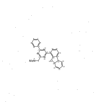 CNCc1nc(-c2ccccc2)nc(-c2cccc3c2OC2C=CC=CC32)n1